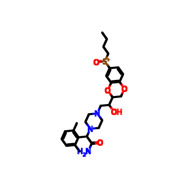 CCCC[S+]([O-])c1ccc2c(c1)OC(C(O)CN1CCN(C(C(N)=O)c3c(C)cccc3C)CC1)CO2